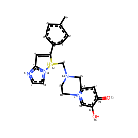 Cc1ccc(C2=Cc3nccn3[SH]2CN2CCn3cc(O)c(=O)cc3C2)cc1